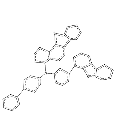 c1ccc(-c2ccc(N(c3cccc(-c4cccc5c4sc4ccccc45)c3)c3cccc4c3ccc3c5ccccc5sc43)cc2)cc1